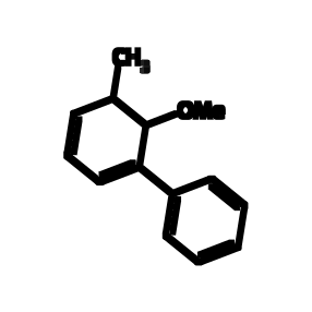 COC1C(c2ccccc2)=CC=CC1C